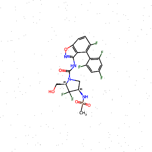 CS(=O)(=O)N[C@@H]1CN(C(=O)Nc2noc3ccc(F)c(-c4c(F)cc(F)cc4F)c23)[C@H](CO)C1(F)F